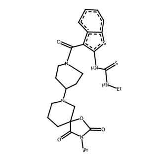 CCNC(=S)Nc1sc2ccccc2c1C(=O)N1CCC(N2CCCC3(C2)OC(=O)N(C(C)C)C3=O)CC1